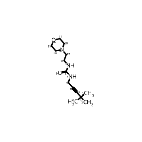 CC(C)(C)C#CCNC(=O)NCCN1CCOCC1